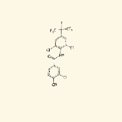 N#Cc1ccc(C(=O)Nc2c(Cl)cc(C(F)(C(F)(F)F)C(F)(F)F)cc2Cl)cc1Cl